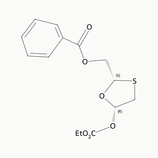 CCOC(=O)O[C@H]1CS[C@@H](COC(=O)c2ccccc2)O1